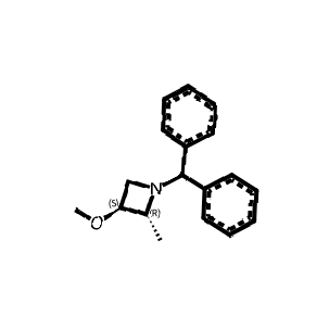 CO[C@H]1CN(C(c2ccccc2)c2ccccc2)[C@@H]1C